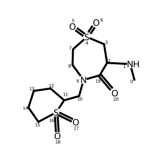 CNC1CS(=O)(=O)CCN(CC2CCCCS2(=O)=O)C1=O